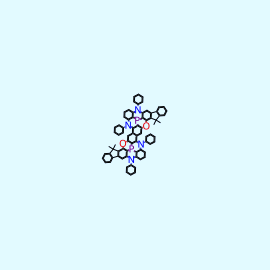 CC1(C)c2ccccc2-c2cc3c4c(oc5cc6c(cc7oc8c9c(cc%10c8p8c%11c(cccc%11n(-c%11ccccc%11)c6c78)n%10-c6ccccc6)-c6ccccc6C9(C)C)c6c5p4c4c(cccc4n6-c4ccccc4)n3-c3ccccc3)c21